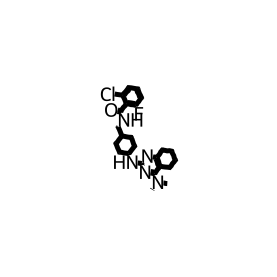 CN(C)c1nc(NC2CCC(CNC(=O)c3c(F)cccc3Cl)CC2)nc2c1CCCC2